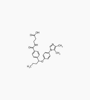 CCCC(Oc1ccc(-n2cnc(C)c2C)cc1)c1ccc(C(=O)NCCC(=O)O)cc1